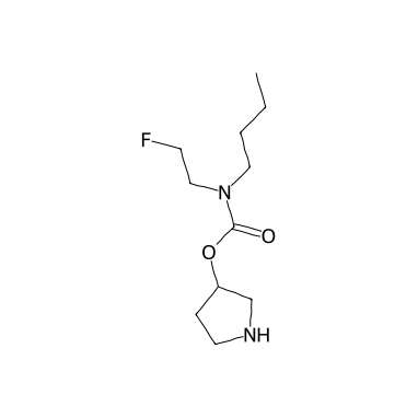 CCCCN(CCF)C(=O)OC1CCNC1